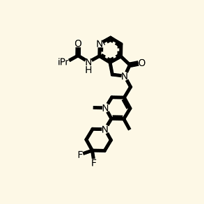 CC1=C(N2CCC(F)(F)CC2)N(C)CC(CN2Cc3c(ccnc3NC(=O)C(C)C)C2=O)=C1